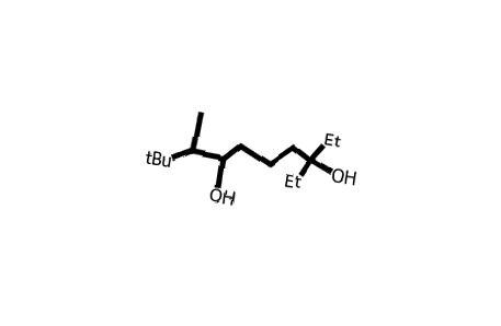 CCC(O)(CC)CCCC(O)C(C)C(C)(C)C